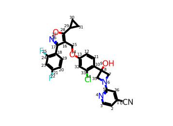 N#Cc1ccnc(N2CC(O)(c3ccc(OCc4c(-c5ccc(F)cc5F)noc4C4CC4)cc3Cl)C2)c1